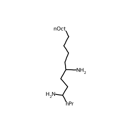 CCCCCCCCCCCCC(N)CCC(N)CCC